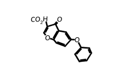 O=C(O)c1coc2ccc(Oc3ccccc3)cc2c1=O